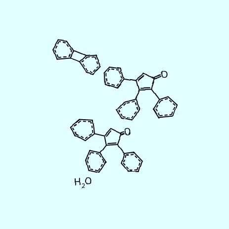 O.O=C1C=C(c2ccccc2)C(c2ccccc2)=C1c1ccccc1.O=C1C=C(c2ccccc2)C(c2ccccc2)=C1c1ccccc1.c1ccc2c(c1)-c1ccccc1-2